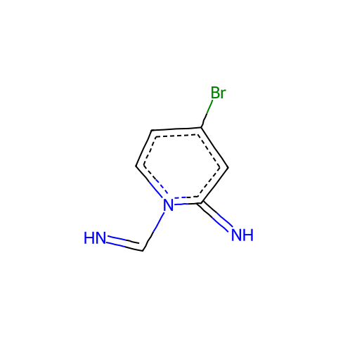 N=Cn1ccc(Br)cc1=N